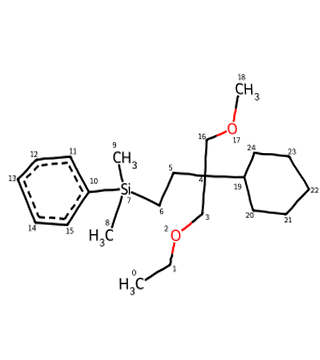 CCOCC(CC[Si](C)(C)c1ccccc1)(COC)C1CCCCC1